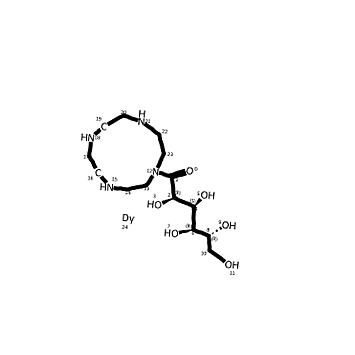 O=C([C@H](O)[C@@H](O)[C@H](O)[C@H](O)CO)N1CCNCCNCCNCC1.[Dy]